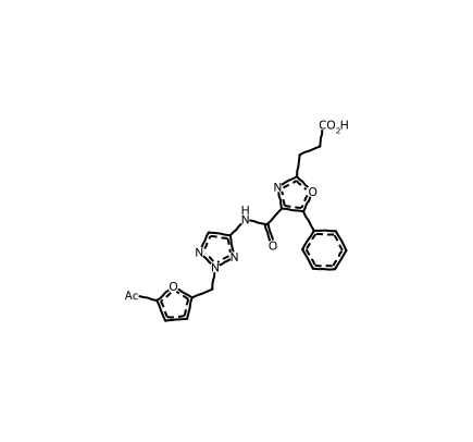 CC(=O)c1ccc(Cn2ncc(NC(=O)c3nc(CCC(=O)O)oc3-c3ccccc3)n2)o1